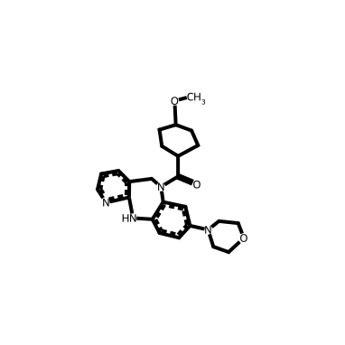 COC1CCC(C(=O)N2Cc3cccnc3Nc3ccc(N4CCOCC4)cc32)CC1